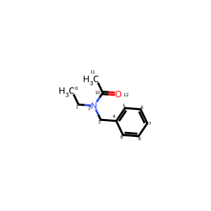 CCN(Cc1ccccc1)C(C)=O